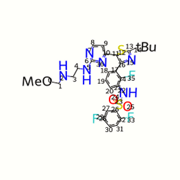 COCNCCNc1nccc(-c2sc(C(C)(C)C)nc2-c2cccc(NS(=O)(=O)c3cc(F)ccc3F)c2F)n1